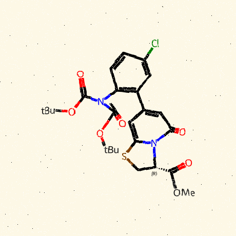 COC(=O)[C@@H]1CSc2cc(-c3cc(Cl)ccc3N(C(=O)OC(C)(C)C)C(=O)OC(C)(C)C)cc(=O)n21